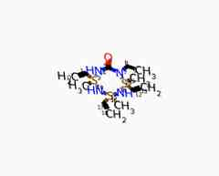 C=CS1(C)NC(=O)N(CC)S(C)(C=C)NS(C)(C=C)N1